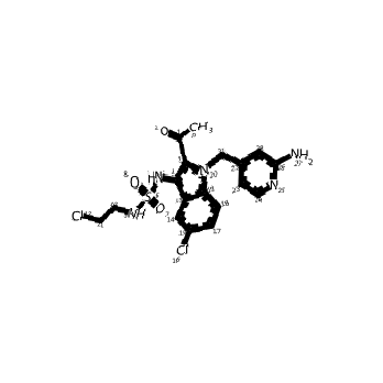 CC(=O)c1c(NS(=O)(=O)NCCCl)c2cc(Cl)ccc2n1Cc1ccnc(N)c1